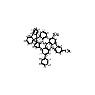 CC(C)(C)c1ccc2c(c1)c1cc(C(C)(C)C)cc3c1n2-c1cc(-c2ccccc2)cc2c1B3N1c3ccccc3C3(c4ccccc4-c4ccccc43)c3cccc-2c31